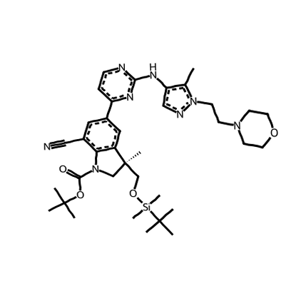 Cc1c(Nc2nccc(-c3cc(C#N)c4c(c3)[C@@](C)(CO[Si](C)(C)C(C)(C)C)CN4C(=O)OC(C)(C)C)n2)cnn1CCN1CCOCC1